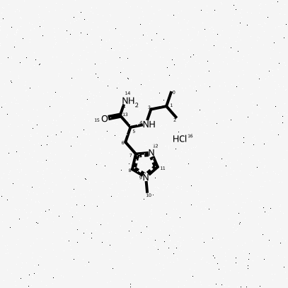 CC(C)CNC(Cc1cn(C)cn1)C(N)=O.Cl